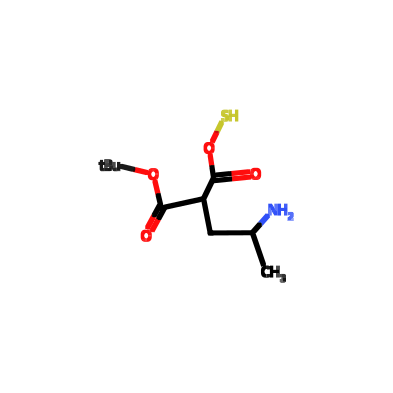 CC(N)CC(C(=O)OS)C(=O)OC(C)(C)C